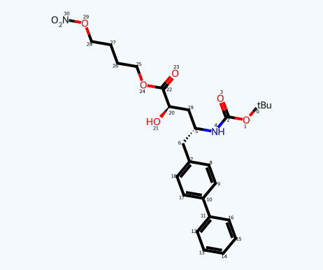 CC(C)(C)OC(=O)N[C@H](Cc1ccc(-c2ccccc2)cc1)C[C@@H](O)C(=O)OCCCCO[N+](=O)[O-]